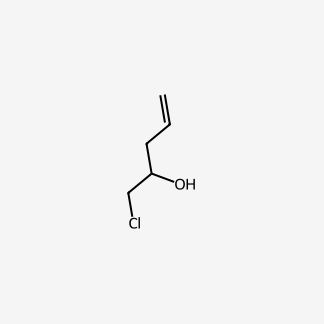 C=CCC(O)CCl